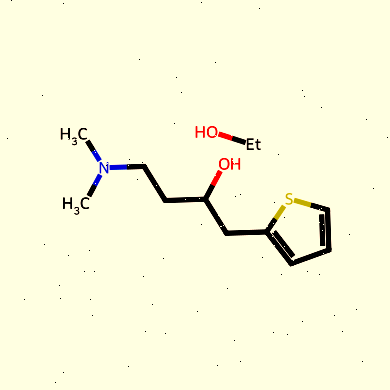 CCO.CN(C)CCC(O)Cc1cccs1